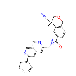 C[C@@]1(C#N)COCc2ccc(C(=O)NCc3cc4cc(-c5ccccc5)ncc4cn3)cc21